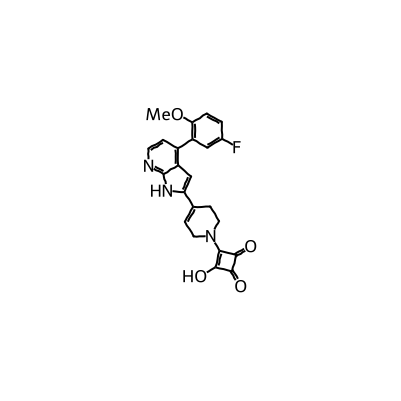 COc1ccc(F)cc1-c1ccnc2[nH]c(C3=CCN(c4c(O)c(=O)c4=O)CC3)cc12